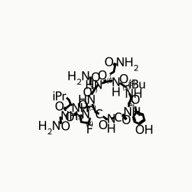 CC[C@H](C)[C@@H]1NC(=O)[C@H](Cc2ccc(O)cc2)NC(=O)CNC(=O)CC[C@@H](C(=O)N2C[C@H](F)C[C@H]2C(=O)NC(CC(C)C)C(=O)NCC(N)=O)NC(=O)[C@H](CC(N)=O)NC(=O)[C@H](CCC(N)=O)NC1=O